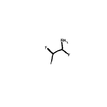 FC(F)[CH](F)[AlH2]